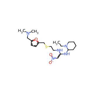 CCN1CCCCC1NC(=C[N+](=O)[O-])NCCSCc1ccc(CN(C)C)o1